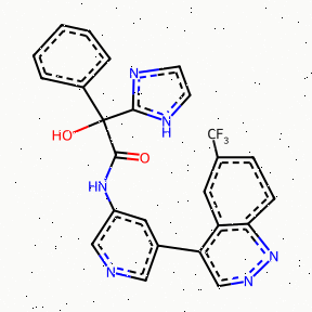 O=C(Nc1cncc(-c2cnnc3ccc(C(F)(F)F)cc23)c1)C(O)(c1ccccc1)c1ncc[nH]1